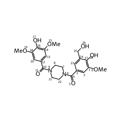 COc1cc(C(=O)N2CCN(C(=O)c3cc(OC)c(O)c(OC)c3)CC2)cc(CO)c1O